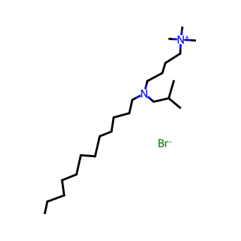 CCCCCCCCCCCCN(CCCC[N+](C)(C)C)CC(C)C.[Br-]